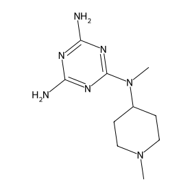 CN1CCC(N(C)c2nc(N)nc(N)n2)CC1